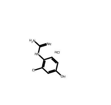 Cl.N=C(N)Nc1ccc(O)cc1Cl